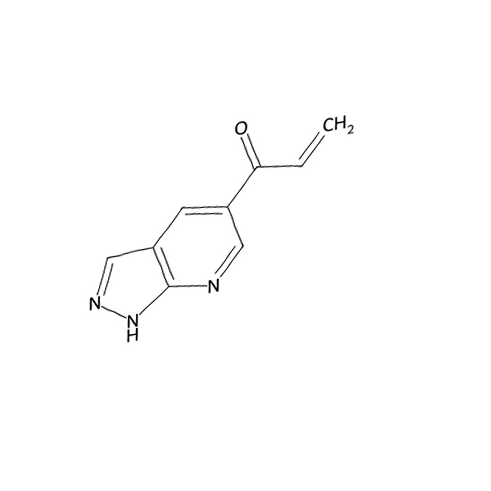 C=CC(=O)c1cnc2[nH]ncc2c1